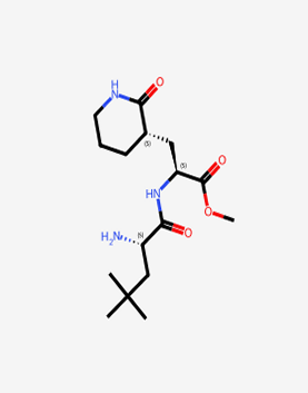 COC(=O)[C@H](C[C@@H]1CCCNC1=O)NC(=O)[C@@H](N)CC(C)(C)C